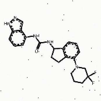 O=C(Nc1cccc2[nH]ncc12)NC1CCc2c1cccc2N1CCCC(F)(F)C1